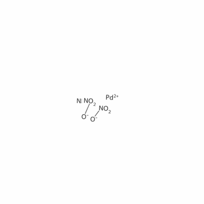 O=[N+]([O-])[O-].O=[N+]([O-])[O-].[N].[Pd+2]